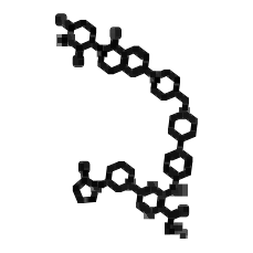 NC(=O)c1ncc(N2CCC[C@H](N3CCCC3=O)C2)nc1Nc1ccc(C2CCN(CC3CCN(c4ccc5c(c4)CCN(C4CCC(=O)NC4=O)C5=O)CC3)CC2)cc1